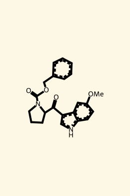 COc1ccc2[nH]cc(C(=O)C3CCCN3C(=O)OCc3ccccc3)c2c1